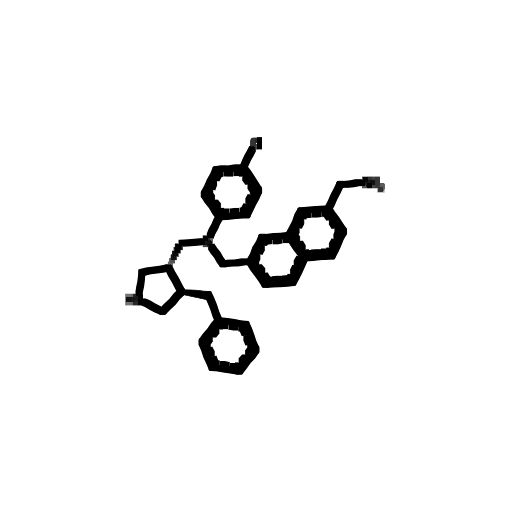 NCc1ccc2ccc(CN(C[C@H]3CNC[C@@H]3Cc3ccccc3)c3ccc(Cl)cc3)cc2c1